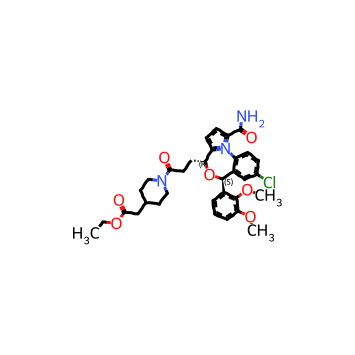 CCOC(=O)CC1CCN(C(=O)CC[C@H]2O[C@H](c3cccc(OC)c3OC)c3cc(Cl)ccc3-n3c(C(N)=O)ccc32)CC1